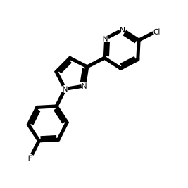 Fc1ccc(-n2ccc(-c3ccc(Cl)nn3)n2)cc1